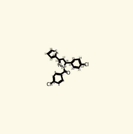 O=C(c1ccc(Cl)cc1)N1N=C(c2cccs2)CC1c1ccc(Cl)cc1